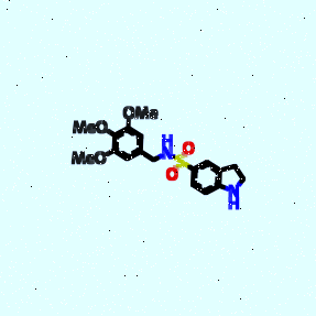 COc1cc(CNS(=O)(=O)c2ccc3c(c2)CCN3)cc(OC)c1OC